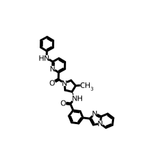 CC1CN(C(=O)c2cccc(Nc3ccccc3)n2)C[C@H]1NC(=O)c1cccc(-c2cn3ccccc3n2)c1